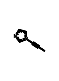 CC#Cn1ccnc1